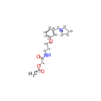 CC(=O)OCC(=O)NCCCOc1cccc(CN2CCCC2)c1